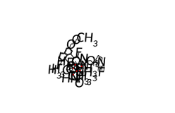 COCOc1cc(-c2c(F)c(OC)c3c(N4CCNC(=O)CC4)nc(OC[C@@]45CCCN4C[C@H](F)C5)nc3c2F)c2c(C#C[Si](C(C)C)(C(C)C)C(C)C)c(F)ccc2c1